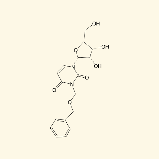 O=c1ccn([C@@H]2O[C@H](CO)[C@H](O)[C@@H]2O)c(=O)n1COCc1ccccc1